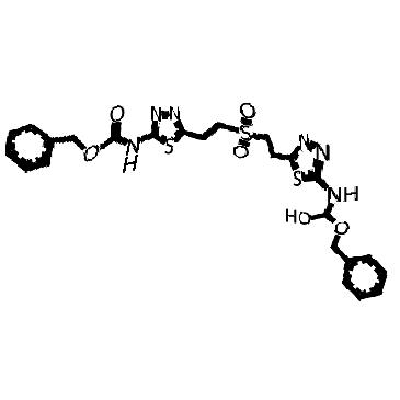 O=C(Nc1nnc(CCS(=O)(=O)CCc2nnc(NC(O)OCc3ccccc3)s2)s1)OCc1ccccc1